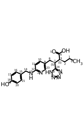 CCC[C@H](C(=O)O)[C@H](Cc1ccc(NCc2ccc(O)cc2)nc1)c1nnn[nH]1